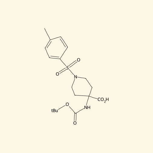 Cc1ccc(S(=O)(=O)N2CCC(NC(=O)OC(C)(C)C)(C(=O)O)CC2)cc1